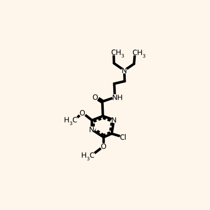 CCN(CC)CCNC(=O)c1nc(Cl)c(OC)nc1OC